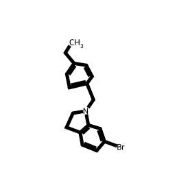 CCc1ccc(CN2CCc3ccc(Br)cc32)cc1